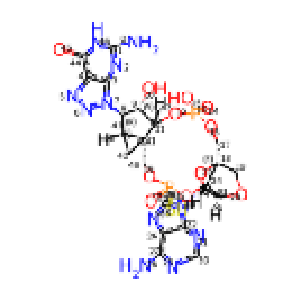 Nc1nc2c(nnn2[C@H]2[C@H](O)[C@@H]3OP(=O)(O)OC[C@@]45CO[C@@H]([C@H](n6cnc7c(N)ncnc76)O4)[C@@H]5O[P@@](=O)(S)OC[C@@]34C[C@H]24)c(=O)[nH]1